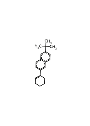 CC(C)(C)c1ccc2cc(C3=CCCCC3)ccc2c1